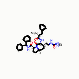 CCNC(=O)NCC[C@H]1CC[C@H]2CC[C@@H](C(=O)NC(c3ccccc3)c3ccccc3)N2C(=O)[C@H]1NC(=O)[C@@H](Cc1ccccc1)NC